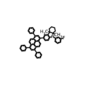 CC12CCCCC1(C)N(c1cccc(F)c1)c1ccc(-c3cc(-c4ccccc4)c4ccc5c(-c6ccccc6)cc(-c6ccccc6)c6ccc3c4c56)cc12